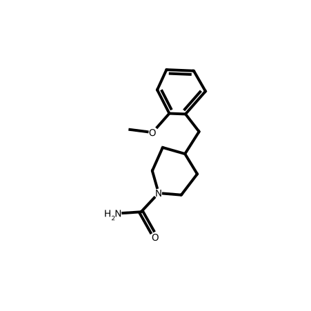 COc1ccccc1CC1CCN(C(N)=O)CC1